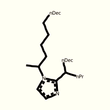 CCCCCCCCCCCCCCC(C)n1ccnc1C(CCC)CCCCCCCCCC